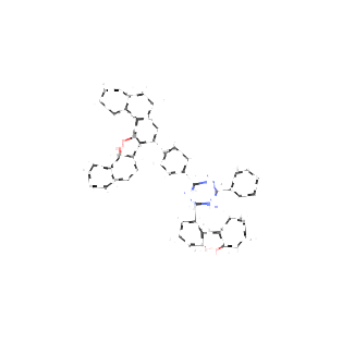 c1ccc(-c2nc(-c3ccc(-c4cc5ccc6ccccc6c5c5oc6c7ccccc7ccc6c45)cc3)nc(-c3cccc4oc5ccccc5c34)n2)cc1